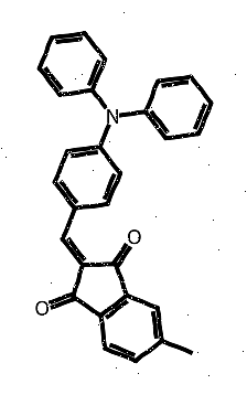 Cc1ccc2c(c1)C(=O)/C(=C\c1ccc(N(c3ccccc3)c3ccccc3)cc1)C2=O